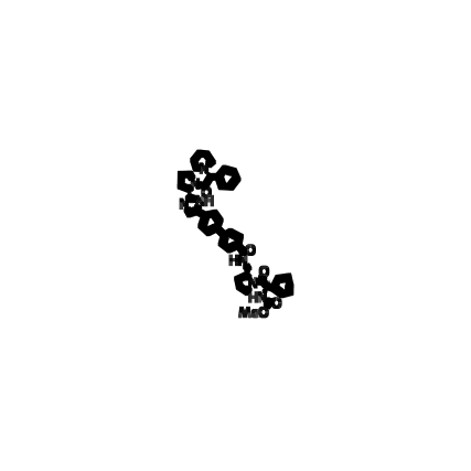 COC(=O)N[C@@H](C(=O)N1CCC[C@H]1CNC(=O)c1ccc(-c2ccc(-c3cnc([C@@H]4CCCN4C(=O)[C@@H](c4ccccc4)N4CCCCC4)[nH]3)cc2)cc1)c1ccccc1